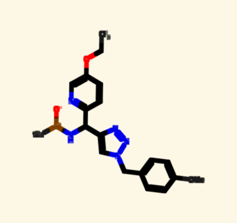 COc1ccc(Cn2cc(C(N[S+]([O-])C(C)(C)C)c3ccc(OCC(F)(F)F)cn3)nn2)cc1